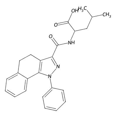 CC(C)CC(NC(=O)c1nn(-c2ccccc2)c2c1CCc1ccccc1-2)C(=O)O